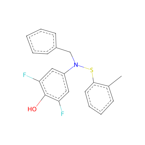 Cc1ccccc1SN(Cc1ccccc1)c1cc(F)c(O)c(F)c1